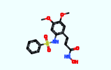 COc1cc(C=CC(=O)NO)c(NS(=O)(=O)c2ccccc2)cc1OC